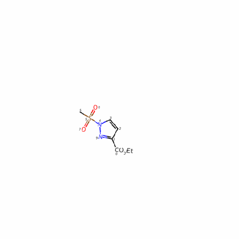 CCOC(=O)c1ccn(S(C)(=O)=O)n1